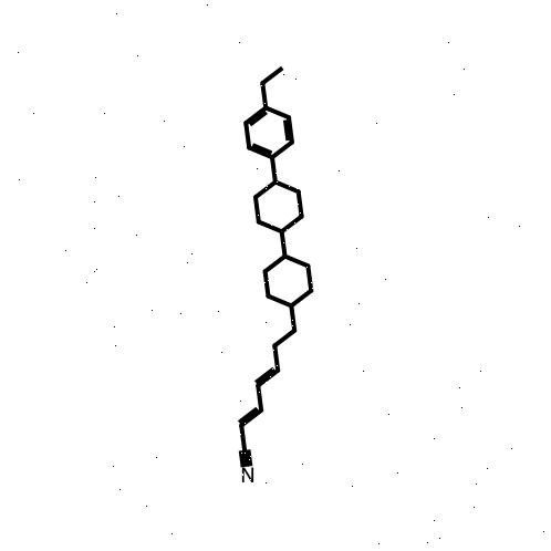 CCc1ccc(C2CCC(C3CCC(CCC=CC=CC#N)CC3)CC2)cc1